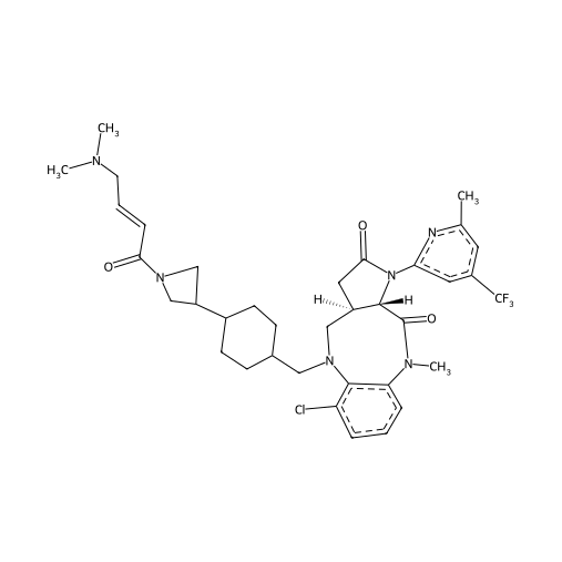 Cc1cc(C(F)(F)F)cc(N2C(=O)C[C@@H]3CN(CC4CCC(C5CN(C(=O)/C=C/CN(C)C)C5)CC4)c4c(Cl)cccc4N(C)C(=O)[C@H]32)n1